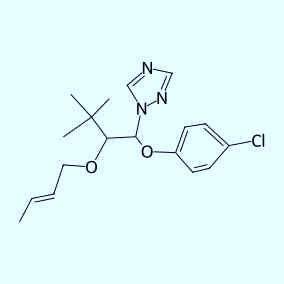 CC=CCOC(C(Oc1ccc(Cl)cc1)n1cncn1)C(C)(C)C